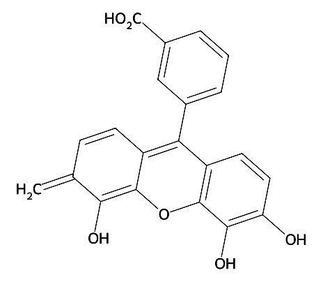 C=c1ccc2c(c1O)Oc1c(ccc(O)c1O)C=2c1cccc(C(=O)O)c1